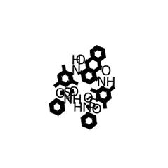 Cc1cc(C)c(S(=O)(=O)Nc2ccccc2)c(C)c1Nc1ccc(Nc2c(C)cc(C)c(S(=O)(=O)Nc3ccccc3)c2C)c2c1C(=O)c1ccccc1C2=O